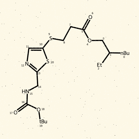 CCCCC(CC)COC(=O)CCSc1cnc(CNC(=O)OC(C)(C)C)s1